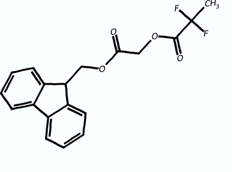 CC(F)(F)C(=O)OCC(=O)OCC1c2ccccc2-c2ccccc21